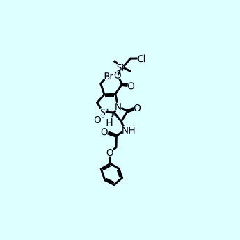 C[Si](C)(CCl)OC(=O)C1=C(CBr)C[S+]([O-])[C@@H]2C(NC(=O)COc3ccccc3)C(=O)N12